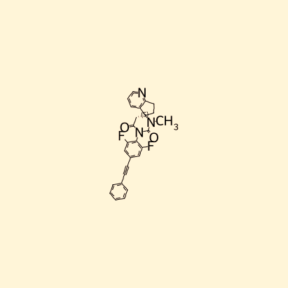 CN1C(=O)N(c2c(F)cc(C#Cc3ccccc3)cc2F)C(=O)C[C@]12CCc1ncccc12